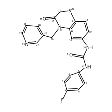 O=C(Nc1ccc(F)cc1)Nc1ccc2c(c1)N(Cc1cccnc1)C(=O)CS2